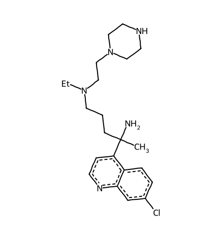 CCN(CCCC(C)(N)c1ccnc2cc(Cl)ccc12)CCN1CCNCC1